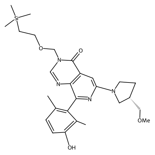 COC[C@H]1CCN(c2cc3c(=O)n(COCC[Si](C)(C)C)cnc3c(-c3c(C)ccc(O)c3C)n2)C1